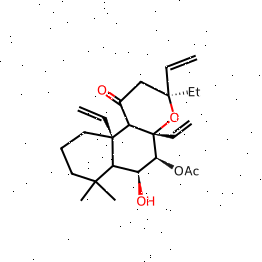 C=C[C@]1(CC)CC(=O)C2[C@@]3(C=C)CCCC(C)(C)C3[C@H](O)[C@H](OC(C)=O)[C@@]2(C=C)O1